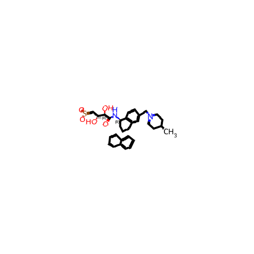 CC1CCN(Cc2ccc3c(c2)CCC[C@H]3NC(=O)[C@H](O)[C@H](O)C=S(=O)=O)CC1.c1ccc2ccccc2c1